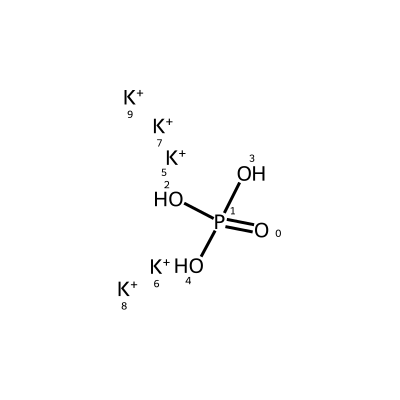 O=P(O)(O)O.[K+].[K+].[K+].[K+].[K+]